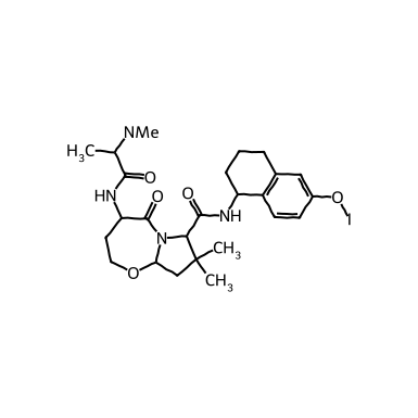 CNC(C)C(=O)NC1CCOC2CC(C)(C)C(C(=O)NC3CCCc4cc(OI)ccc43)N2C1=O